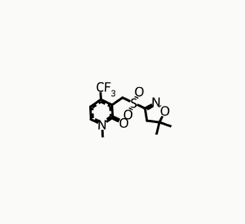 Cn1ccc(C(F)(F)F)c(CS(=O)(=O)C2=NOC(C)(C)C2)c1=O